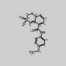 O=C(Nc1ccc(OC(F)(F)F)cc1)C1=CC=CN2CCS(=O)(=O)N=C12